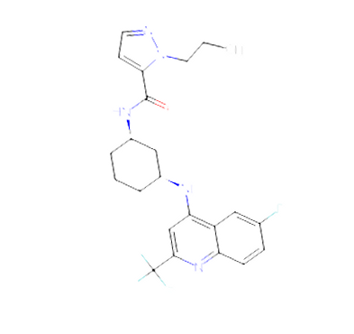 CCCn1nccc1C(=O)N[C@@H]1CCC[C@H](Nc2cc(C(F)(F)F)nc3ccc(F)cc23)C1